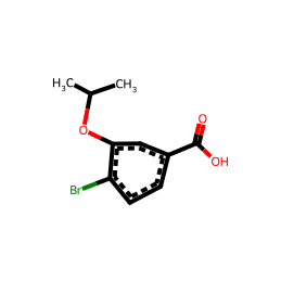 CC(C)Oc1cc(C(=O)O)ccc1Br